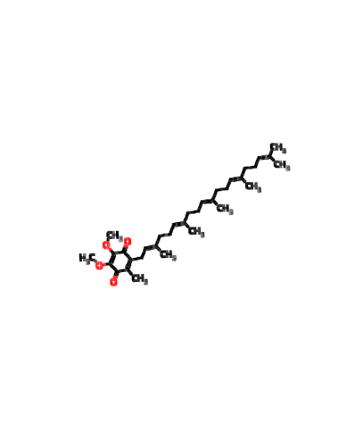 COC1=C(OC)C(=O)C(C/C=C(\C)CC/C=C(\C)CC/C=C(\C)CC/C=C(\C)CCC=C(C)C)=C(C)C1=O